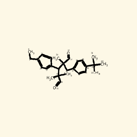 CCc1ccc(C(C(C)(C)C=O)C(C)(C=O)Cc2ccc(C(C)(C)C)cc2)cc1